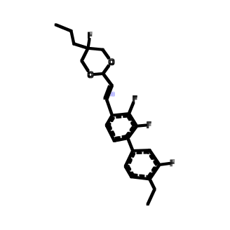 CCCC1(F)COC(/C=C/c2ccc(-c3ccc(CC)c(F)c3)c(F)c2F)OC1